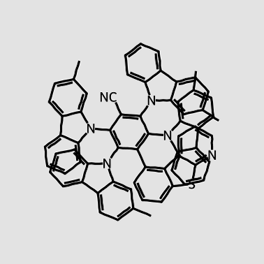 Cc1ccc2c3ccccc3n(-c3c(C#N)c(-n4c5ccccc5c5ccc(C)cc54)c(-n4c5ccccc5c5ccc(C)cc54)c(-c4cccc5sc6ncccc6c45)c3-n3c4ccccc4c4ccc(C)cc43)c2c1